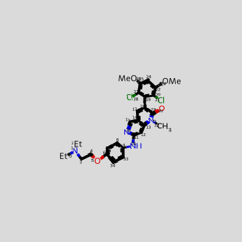 CCN(CC)CCOc1ccc(Nc2cc3c(cn2)cc(-c2c(Cl)c(OC)cc(OC)c2Cl)c(=O)n3C)cc1